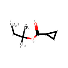 O=C(O)CC(OC(=O)C1CC1)(C(F)(F)F)C(F)(F)F